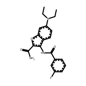 CCN(CC)c1ccc2c(NC(=O)c3cccc(F)c3)c(C(N)=O)oc2c1